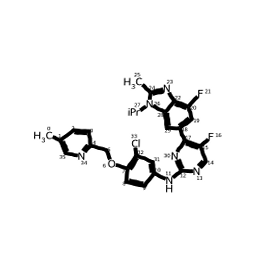 Cc1ccc(COc2ccc(Nc3ncc(F)c(-c4cc(F)c5nc(C)n(C(C)C)c5c4)n3)cc2Cl)nc1